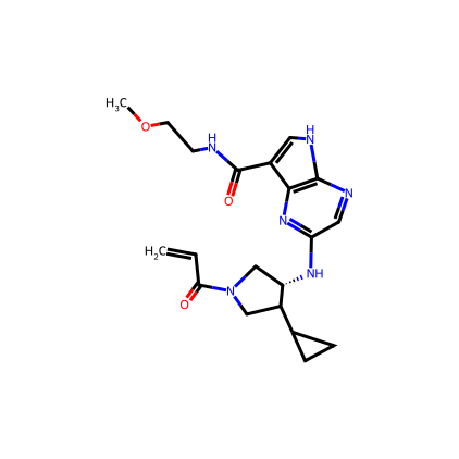 C=CC(=O)N1CC(C2CC2)[C@@H](Nc2cnc3[nH]cc(C(=O)NCCOC)c3n2)C1